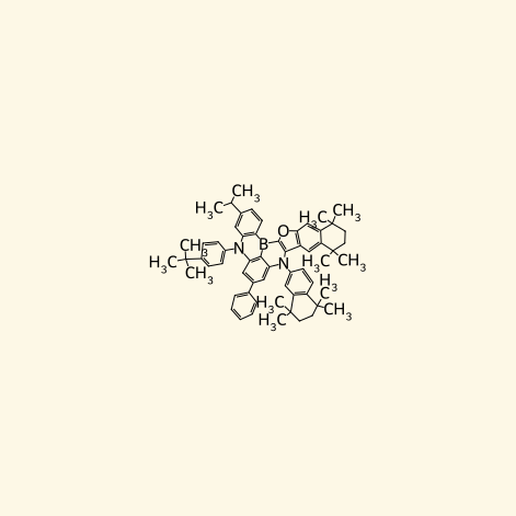 CC(C)c1ccc2c(c1)N(c1ccc(C(C)(C)C)cc1)c1cc(-c3ccccc3)cc3c1B2c1oc2cc4c(cc2c1N3c1ccc2c(c1)C(C)(C)CCC2(C)C)C(C)(C)CCC4(C)C